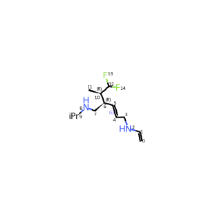 C=CNC/C=C/[C@@H](CNC(C)C)[C@@H](C)C(F)F